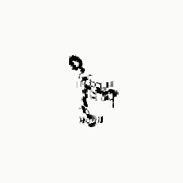 O=C(NC(CCCCNC1NCCN1)(NC(=O)C1CCNO1)C(=O)O)OCc1ccccc1